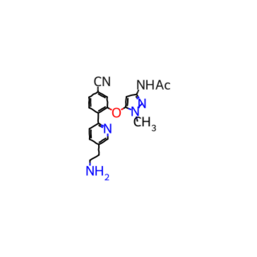 CC(=O)Nc1cc(Oc2cc(C#N)ccc2-c2ccc(CCN)cn2)n(C)n1